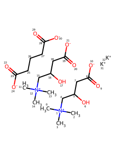 C[N+](C)(C)CC(O)CC(=O)[O-].C[N+](C)(C)CC(O)CC(=O)[O-].O=C([O-])CCCC(=O)[O-].[K+].[K+]